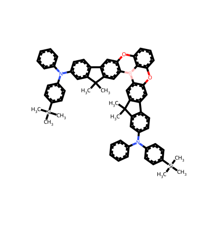 CC1(C)c2cc(N(c3ccccc3)c3ccc([Si](C)(C)C)cc3)ccc2-c2cc3c(cc21)B1c2cc4c(cc2Oc2cccc(c21)O3)-c1ccc(N(c2ccccc2)c2ccc([Si](C)(C)C)cc2)cc1C4(C)C